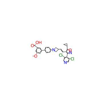 COc1cc(C(=O)O)cc(-c2ccc(N3CC(C=Cc4c(-c5c(Cl)cncc5Cl)noc4C4CC4)C3)cc2)c1